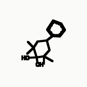 CC1(C)CC(c2ccccc2)CC(C)(C)C1(O)O